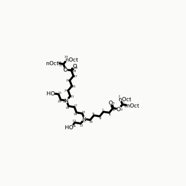 CCCCCCCCC(CCCCCCCC)OC(=O)CCCCCN(CCO)CCCCN(CCO)CCCCCC(=O)OC(CCCCCCCC)CCCCCCCC